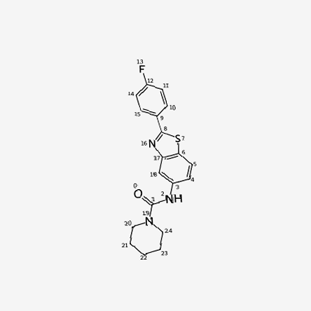 O=C(Nc1ccc2sc(-c3ccc(F)cc3)nc2c1)N1CCCCC1